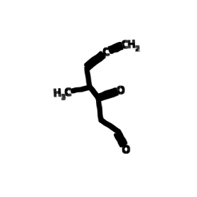 C=C=CC(C)C(=O)CC=O